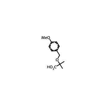 COc1ccc(COC(C)(C)C(=O)O)cc1